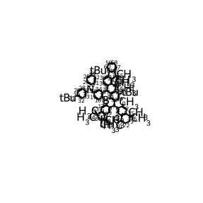 Cc1cc2c(cc1C1c3cc4c(cc3B3c5ccc(N(c6ccc(C(C)(C)C)cc6)c6ccc(C(C)(C)C)cc6)cc5C5c6ccc7c(c6C(C)(C)c6c(C(C)(C)C)cc1c3c65)C(C)(C)c1ccccc1-7)C(C)(C)CC4(C)C)C(C)(C)CCC2(C)C